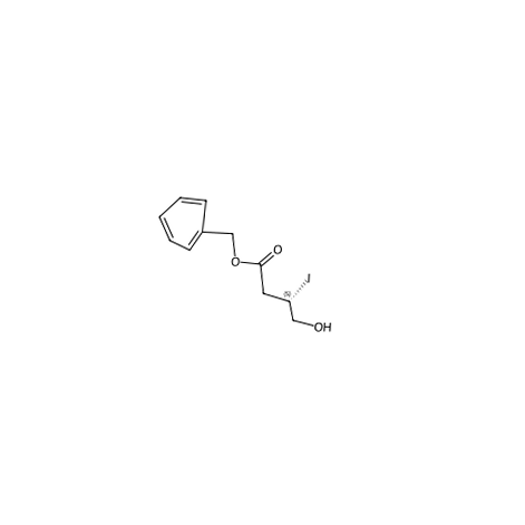 O=C(C[C@H](I)CO)OCc1ccccc1